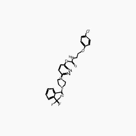 O=C(NCCOc1ccc(Cl)cc1)Oc1ccc(N2CCN(C(=O)c3ccccc3C(F)(F)F)CC2)nn1